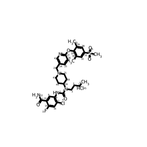 CCCCN(C(=O)Nc1cc(C(N)=O)c(F)cc1Cl)C1CCN(Cc2ccc(Oc3c(C)cc(S(C)(=O)=O)cc3C)nc2)CC1.Cl